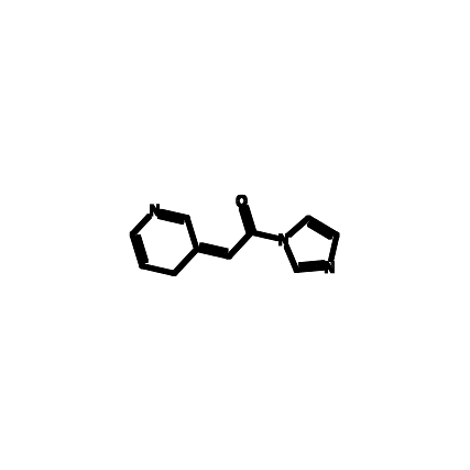 O=C(/C=C1\C=NC=CC1)n1ccnc1